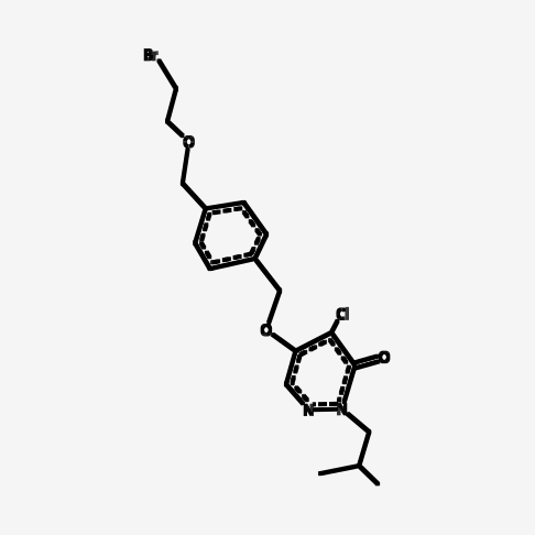 CC(C)Cn1ncc(OCc2ccc(COCCBr)cc2)c(Cl)c1=O